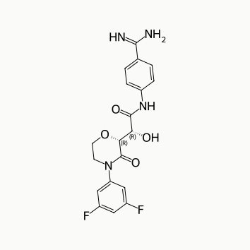 N=C(N)c1ccc(NC(=O)[C@H](O)[C@H]2OCCN(c3cc(F)cc(F)c3)C2=O)cc1